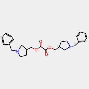 O=C(OCC1CCN(Cc2ccccc2)C1)C(=O)OCC1CCN(Cc2ccccc2)C1